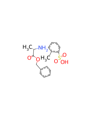 C[C@H](N)C(=O)OCc1ccccc1.Cc1ccccc1S(=O)(=O)O